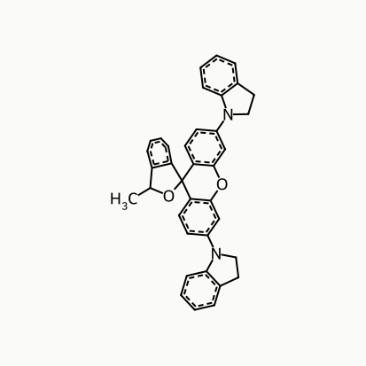 CC1OC2(c3ccc(N4CCc5ccccc54)cc3Oc3cc(N4CCc5ccccc54)ccc32)c2ccccc21